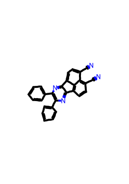 N#Cc1ccc2c3c(ccc(C#N)c13)-c1nc(-c3ccccc3)c(-c3ccccc3)nc1-2